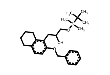 CC(C)(C)[Si](C)(C)OCC(O)Cc1c(OCc2ccccc2)ccc2c1CCCC2